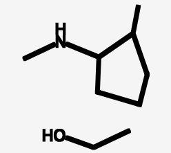 CCO.CNC1CCCC1C